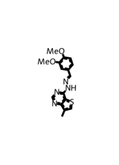 COc1ccc(C=NNc2ncnc3c(C)csc23)cc1OC